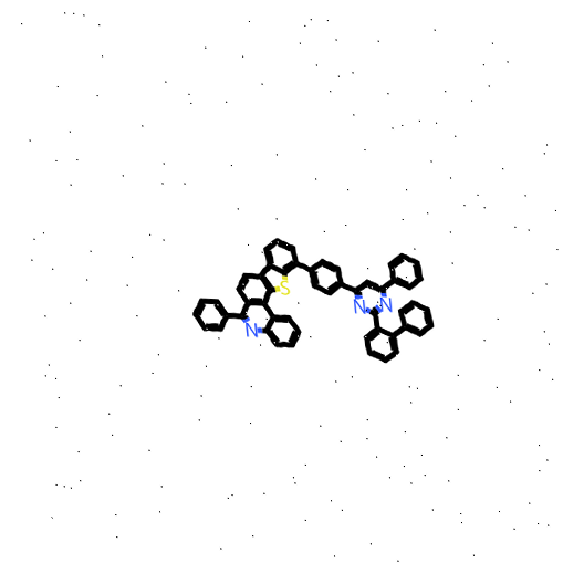 c1ccc(-c2cc(-c3ccc(-c4cccc5c4sc4c5ccc5c(-c6ccccc6)nc6ccccc6c54)cc3)nc(-c3ccccc3-c3ccccc3)n2)cc1